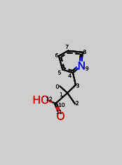 CC(C)(Cc1ccccn1)C(=O)O